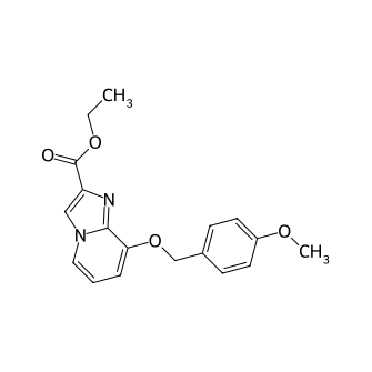 CCOC(=O)c1cn2cccc(OCc3ccc(OC)cc3)c2n1